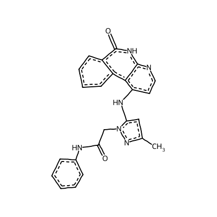 Cc1cc(Nc2ccnc3[nH]c(=O)c4ccccc4c23)n(CC(=O)Nc2ccccc2)n1